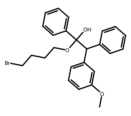 COc1cccc(C(c2ccccc2)C(O)(OCCCCBr)c2ccccc2)c1